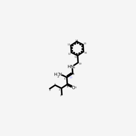 CCC(C)C(=O)/C(N)=C/NCc1ccccc1